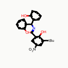 CC(C)(C)c1cc([N+](=O)[O-])cc(/C=N/C(c2ccccc2O)c2ccccc2O)c1O